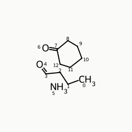 CCCC=O.N.O=C1CCCCC1